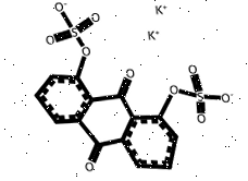 O=C1c2cccc(OS(=O)(=O)[O-])c2C(=O)c2c(OS(=O)(=O)[O-])cccc21.[K+].[K+]